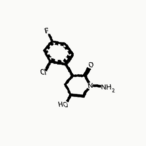 NN1CC(O)CC(c2ccc(F)cc2Cl)C1=O